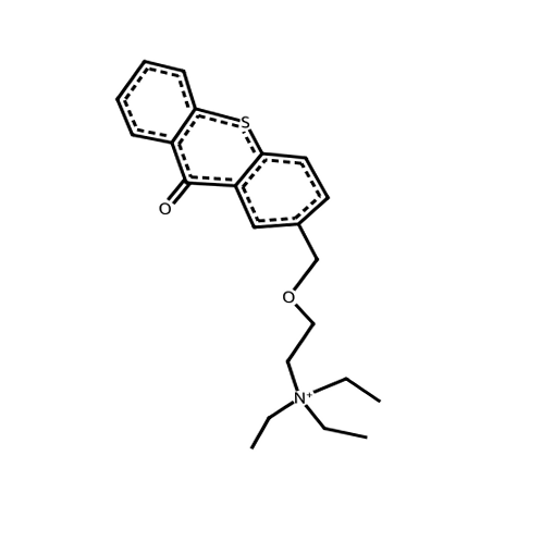 CC[N+](CC)(CC)CCOCc1ccc2sc3ccccc3c(=O)c2c1